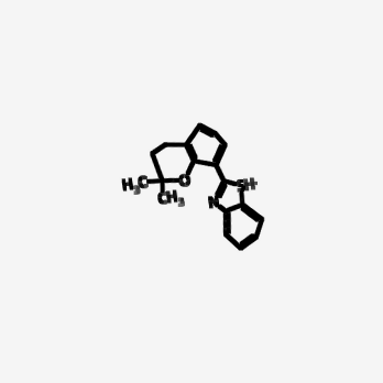 CC1(C)CCc2cccc(C3=Nc4ccccc4[SH]3)c2O1